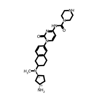 CN(C1CCc2cc(-n3ccc(NC(=O)N4CCNCC4)nc3=O)ccc2C1)[C@H]1CC[C@H](N)C1